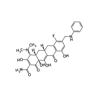 CN(C)[C@@H]1C(O)=C(C(N)=O)C(=O)[C@@]2(O)C(O)=C3C(=O)c4c(O)cc(CNc5ccccc5)c(F)c4C[C@H]3C[C@@H]12